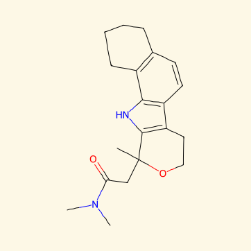 CN(C)C(=O)CC1(C)OCCc2c1[nH]c1c3c(ccc21)CCCC3